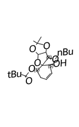 CCCCO[C@@H]1C2OC(C)(C)OC2OC12[C@@H](OC(=O)C(C)(C)C)CC=C[C@@H]2O